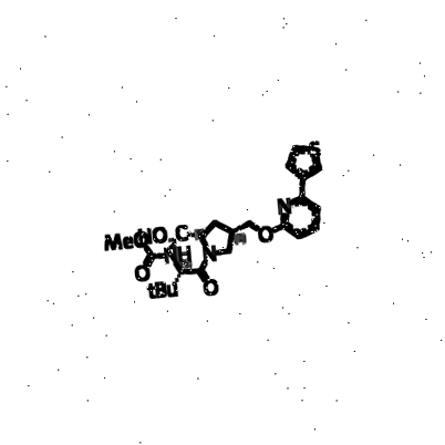 COC(=O)N[C@H](C(=O)N1C[C@H](COc2cccc(-c3ccsc3)n2)C[C@H]1C(=O)O)C(C)(C)C